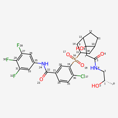 C[C@H](O)CNC(=O)CC1(O)C2CCC1CC(S(=O)(=O)c1cc(C(=O)Nc3cc(F)c(F)c(F)c3)ccc1Cl)C2